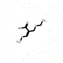 CCOCC(=COC)C(=O)O